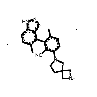 Cc1ccc(N2CCC3(CNC3)C2)c(C#N)c1-c1c(C)ccc2[nH]ncc12